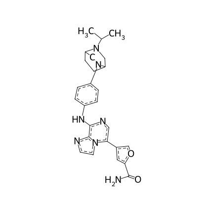 CC(C)N1CC2CCC1CN2c1ccc(Nc2ncc(-c3coc(C(N)=O)c3)n3ccnc23)cc1